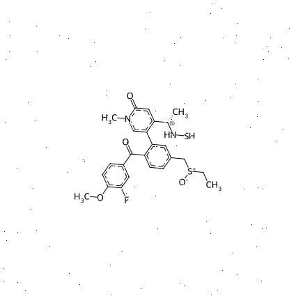 CC[S+]([O-])Cc1ccc(C(=O)c2ccc(OC)c(F)c2)c(-c2cn(C)c(=O)cc2[C@H](C)NS)c1